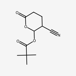 CC(C)(C)C(=O)OC1OC(=O)CCC1C#N